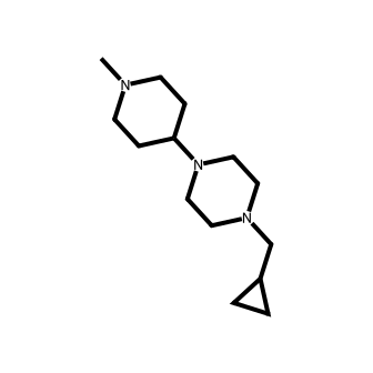 CN1CCC(N2CCN(CC3CC3)CC2)CC1